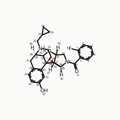 O=C(c1ccccc1F)N1C[C@H]2O[C@@]34CC[C@@H]1[C@@H]2[C@@]31CCN(CC2CC2)[C@@H]4Cc2ccc(O)cc21